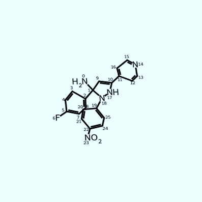 NC1(c2ccc(F)cc2)C=C(c2ccncc2)NN1c1ccc([N+](=O)[O-])cc1